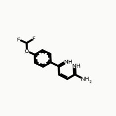 N=C(N)/C=C\C(=N)c1ccc(OC(F)F)cc1